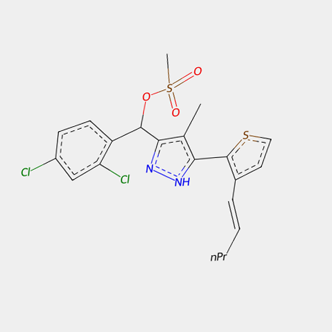 CCCC=Cc1ccsc1-c1[nH]nc(C(OS(C)(=O)=O)c2ccc(Cl)cc2Cl)c1C